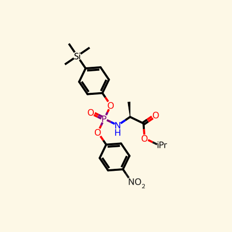 CC(C)OC(=O)[C@H](C)NP(=O)(Oc1ccc([N+](=O)[O-])cc1)Oc1ccc([Si](C)(C)C)cc1